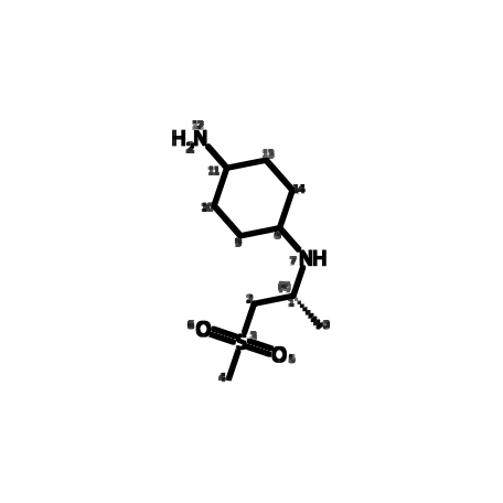 C[C@H](CS(C)(=O)=O)NC1CCC(N)CC1